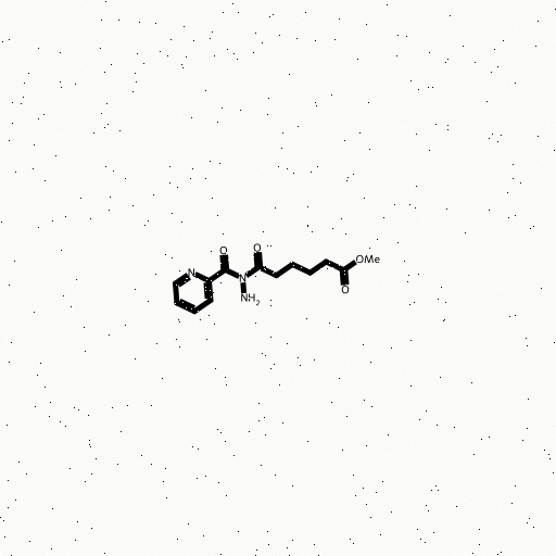 COC(=O)CCCCC(=O)N(N)C(=O)c1ccccn1